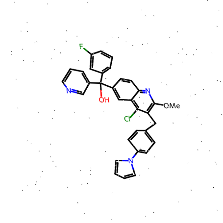 COc1nc2ccc(C(O)(c3cccnc3)c3cccc(F)c3)cc2c(Cl)c1Cc1ccc(-n2cccc2)cc1